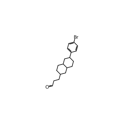 O=CCCC1CCC2CC(c3ccc(Br)cc3)CCC2C1